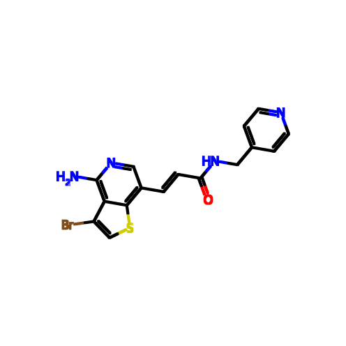 Nc1ncc(C=CC(=O)NCc2ccncc2)c2scc(Br)c12